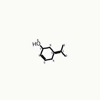 CC(C)=C1CC=CC(O)C1